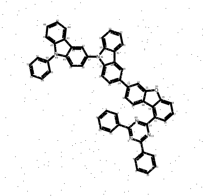 c1ccc(-c2nc(-c3ccccc3)nc(-c3cccc4oc5cc(-c6ccc7c(c6)c6ccccc6n7-c6ccc7c(c6)c6ccccc6n7-c6ccccc6)ccc5c34)n2)cc1